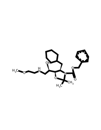 COCCNC[C@@H](O)[C@@H]1OC(C)(C)N(C(=O)OCc2ccccc2)[C@@H]1CC1CCCCC1